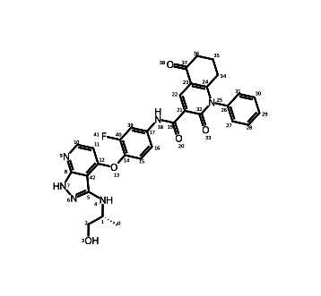 C[C@H](CO)Nc1n[nH]c2nccc(Oc3ccc(NC(=O)c4cc5c(n(-c6ccccc6)c4=O)CCCC5=O)cc3F)c12